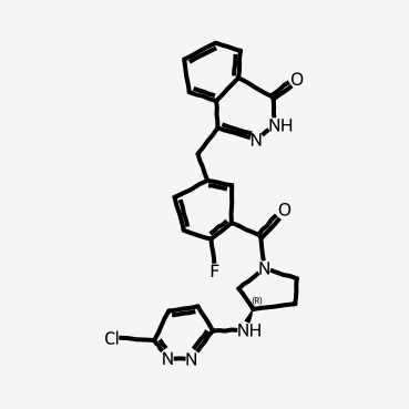 O=C(c1cc(Cc2n[nH]c(=O)c3ccccc23)ccc1F)N1CC[C@@H](Nc2ccc(Cl)nn2)C1